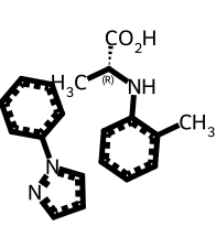 Cc1ccccc1N[C@H](C)C(=O)O.c1ccc(-n2cccn2)cc1